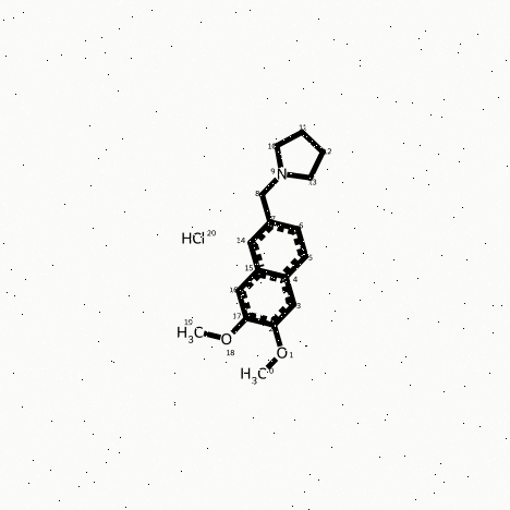 COc1cc2ccc(CN3CCCC3)cc2cc1OC.Cl